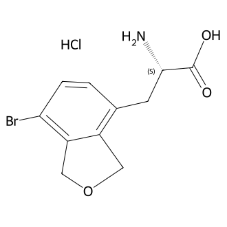 Cl.N[C@@H](Cc1ccc(Br)c2c1COC2)C(=O)O